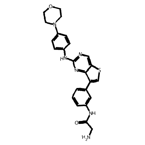 NCC(=O)Nc1cccc(-c2csc3cnc(Nc4ccc(N5CCOCC5)cc4)nc23)c1